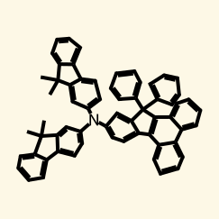 CC1(C)c2ccccc2-c2ccc(N(c3ccc4c(c3)C(C)(C)c3ccccc3-4)c3ccc4c(c3)C(c3ccccc3)(c3ccccc3)c3c-4c4ccccc4c4ccccc34)cc21